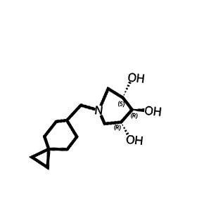 O[C@H]1[C@H](O)CN(CC2CCC3(CC2)CC3)C[C@@H]1O